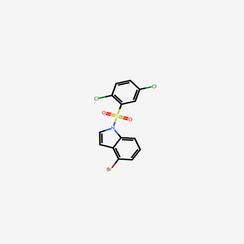 O=S(=O)(c1cc(Cl)ccc1Cl)n1ccc2c(Br)cccc21